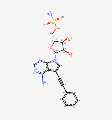 Nc1ncnc2c1c(C#Cc1ccccc1)cn2[C@@H]1O[C@H](COS(N)(=O)=O)[C@@H](O)[C@H]1O